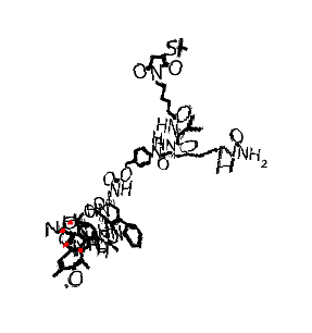 COc1c(C)cc2c(c1C)C1[C@@H]3[C@@H]4SC[C@]5(N[C@@H](CNC(=O)OCc6ccc(NC(=O)[C@H](CCCCNC(N)=O)NC(=O)[C@@H](NC(=O)CCCCCN7C(=O)CC(SC(C)(C)C)C7=O)C(C)C)cc6)Cc6c5[nH]c5ccccc65)C(=O)OC[C@@H](c5c6c(c(C)c(OC(C)=O)c54)OCO6)N3C(C#N)(C2)CN1C